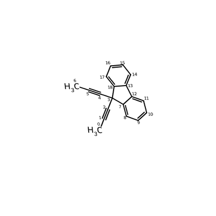 CC#CC1(C#CC)c2ccccc2-c2ccccc21